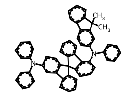 CC1(C)c2ccccc2-c2ccc(N(c3ccccc3)c3cccc4c3-c3ccccc3C43c4ccccc4-c4cc(N(c5ccccc5)c5ccccc5)ccc43)cc21